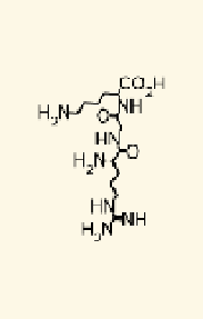 N=C(N)NCCC[C@H](N)C(=O)NCC(=O)N[C@@H](CCCCN)C(=O)O